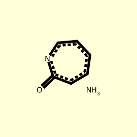 N.O=c1cccccn1